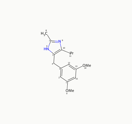 COc1cc(Cc2[nH]c(C)nc2C(C)C)cc(OC)c1